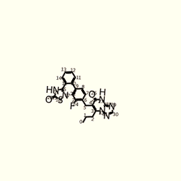 CCCc1c(Cc2ccc(-c3ccccc3-c3nsc(=O)[nH]3)cc2F)c(=O)[nH]c2ncnn12